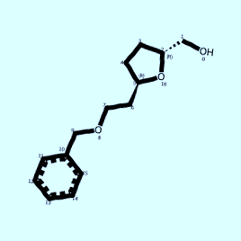 OC[C@H]1CC[C@H](CCOCc2ccccc2)O1